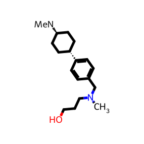 CN[C@H]1CC[C@H](c2ccc(CN(C)CCCO)cc2)CC1